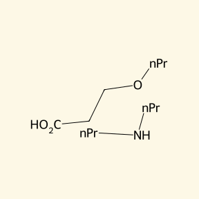 CCCNCCC.CCCOCCC(=O)O